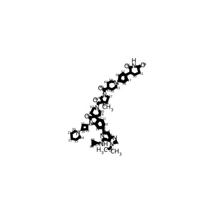 CC(C)n1cnc2cc(-c3ccc4c(c3)N([C@H]3C[C@@H](N5CCCCC5)C3)C(=O)C43CCN(C(=O)[C@]4(C)CCN(C(=O)C5CCN(c6ccc(C7CCC(=O)NC7=O)cc6)CC5)C4)CC3)nc(NC3CC3)c21